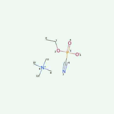 CCOP(=O)([O-])C#N.C[N+](C)(C)C